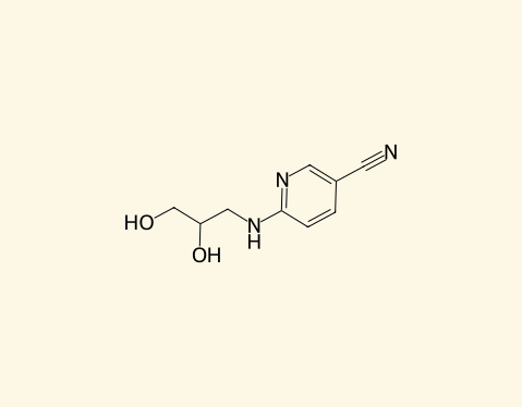 N#Cc1ccc(NCC(O)CO)nc1